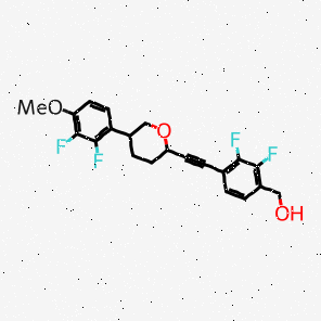 COc1ccc(C2CCC(C#Cc3ccc(CO)c(F)c3F)OC2)c(F)c1F